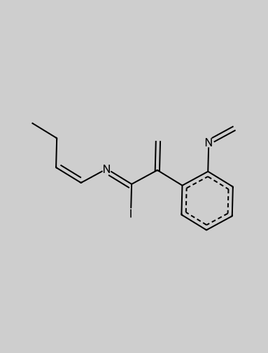 C=Nc1ccccc1C(=C)/C(I)=N/C=C\CC